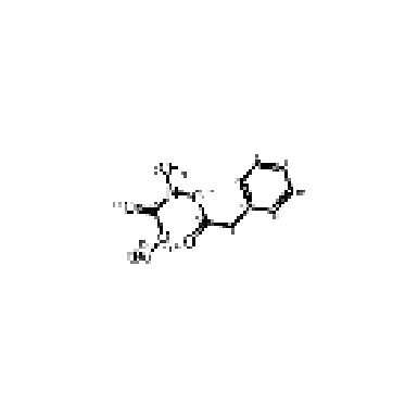 CN(OC(=O)Cc1ccccc1)C(=O)OC(C)(C)C